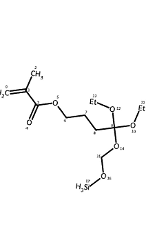 C=C(C)C(=O)OCCCC(OCC)(OCC)OCO[SiH3]